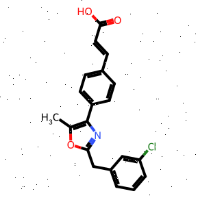 Cc1oc(Cc2cccc(Cl)c2)nc1-c1ccc(/C=C/C(=O)O)cc1